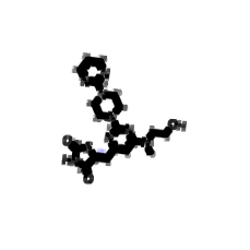 CN(CCO)c1cc(/C=C2\SC(=O)NC2=O)nc(N2CCN(c3ncccn3)CC2)n1